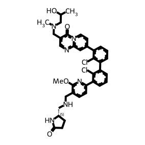 COc1nc(-c2cccc(-c3cccc(-c4ccn5c(=O)c(CN(C)CC(C)O)cnc5c4)c3Cl)c2Cl)ccc1CNC[C@@H]1CCC(=O)N1